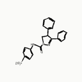 CCOC(=O)c1ccc(NC(=O)N2CC(c3ccccc3)C(c3ccccc3)=N2)cc1